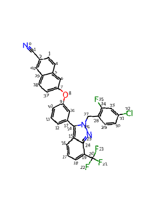 N#Cc1ccc2cc(Oc3cccc(-c4c5cccc(C(F)(F)F)c5nn4Cc4ccc(Cl)cc4F)c3)ccc2c1